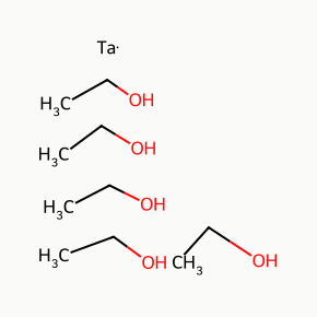 CCO.CCO.CCO.CCO.CCO.[Ta]